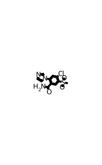 CS(=O)(=O)c1cc(C(N)=O)c(-n2ccnc2)cc1Cl